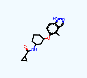 Cc1c(OC2CCCC(NC(=O)C3CC3)C2)ccc2[nH]ncc12